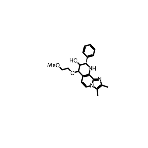 COCCOC1c2ccn3c(C)c(C)nc3c2N[C@H](c2ccccc2)C1O